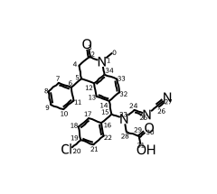 CN1C(=O)CC(c2ccccc2)c2cc(C(c3ccc(Cl)cc3)N(C=NC#N)CC(=O)O)ccc21